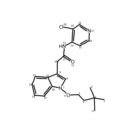 CC(C)(C)CCOn1cc(CC(=O)Nc2ccncc2Cl)c2ccccc21